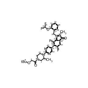 CC1CN(C(=O)COC(C)(C)C)CCN1c1ncc(-c2c(F)cc3c(=O)n(C)n(Cc4ccccc4OC(F)F)c3c2F)cn1